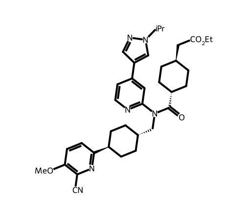 CCOC(=O)C[C@H]1CC[C@H](C(=O)N(C[C@H]2CC[C@H](c3ccc(OC)c(C#N)n3)CC2)c2cc(-c3cnn(C(C)C)c3)ccn2)CC1